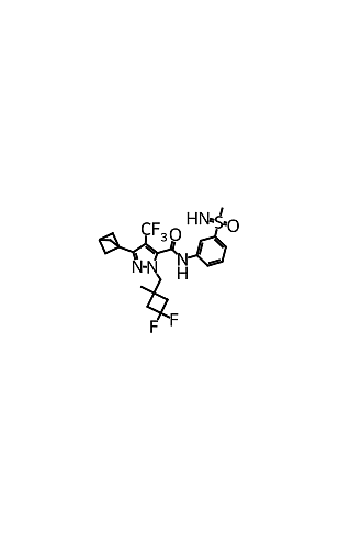 CC1(Cn2nc(C34CC(C3)C4)c(C(F)(F)F)c2C(=O)Nc2cccc(S(C)(=N)=O)c2)CC(F)(F)C1